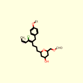 C/C=C\C(Cl)=C(/CCCC1CC(O)CC(COC=O)O1)Cc1ccc(OCC)cc1